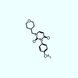 Cc1ccc(-n2c(=O)ccn(CC3CCOCC3)c2=O)cc1